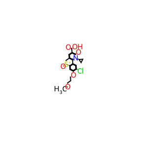 COCCCOc1cc2c(cc1Cl)-c1c(cc(C(=O)O)c(=O)n1C1CC1)C[S+]2[O-]